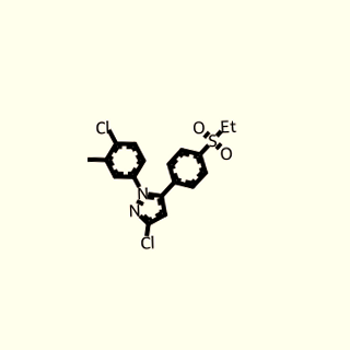 CCS(=O)(=O)c1ccc(-c2cc(Cl)nn2-c2ccc(Cl)c(C)c2)cc1